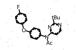 CC(=O)N(c1ccc(Oc2ccc(F)cc2)cc1)c1ccnc(C(C)(C)C)n1